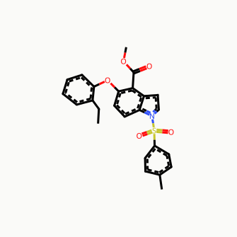 CCc1ccccc1Oc1ccc2c(ccn2S(=O)(=O)c2ccc(C)cc2)c1C(=O)OC